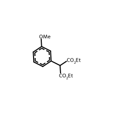 CCOC(=O)C(C(=O)OCC)c1cccc(OC)c1